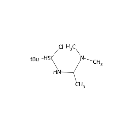 CC(N[SiH](Cl)C(C)(C)C)N(C)C